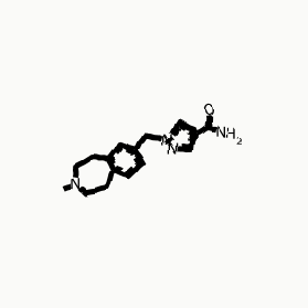 CN1CCc2ccc(Cn3cc(C(N)=O)cn3)cc2CC1